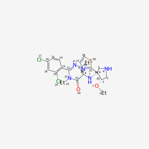 CCO[C@H]1CNC[C@]1(Nc1c(CC)nc(-c2ccc(Cl)cc2Cl)n(CC)c1=O)c1nccs1